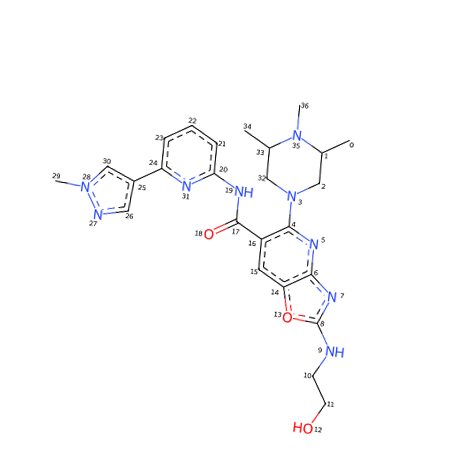 CC1CN(c2nc3nc(NCCO)oc3cc2C(=O)Nc2cccc(-c3cnn(C)c3)n2)CC(C)N1C